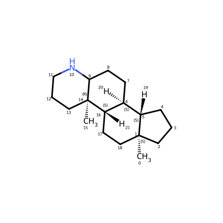 C[C@@]12CCC[C@H]1[C@@H]1CCC3NCCC[C@]3(C)[C@H]1CC2